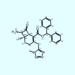 Cn1nnnc1SC1=C(C(=O)OC(c2ccccc2)c2ccccc2)N2C(=O)C(N)[C@H]2SC1